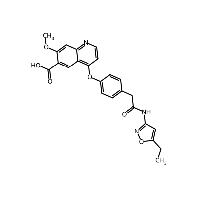 CCc1cc(NC(=O)Cc2ccc(Oc3ccnc4cc(OC)c(C(=O)O)cc34)cc2)no1